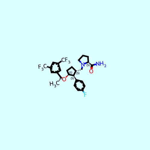 C[C@@H](O[C@H]1CC[C@H](CN2CCC[C@H]2C(N)=O)[C@H]1c1ccc(F)cc1)c1cc(C(F)(F)F)cc(C(F)(F)F)c1